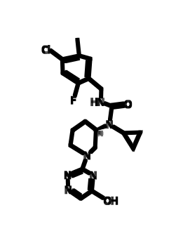 Cc1cc(CNC(=O)N(C2CC2)[C@@H]2CCCN(c3nncc(O)n3)C2)c(F)cc1Cl